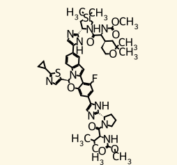 COC(=O)N[C@H](C(=O)N1CCC[C@H]1c1ncc(-c2cc(F)c3c(c2)O[C@@H](c2cnc(C4CC4)s2)n2c-3cc3cc(-c4cnc([C@@H]5C[Si](C)(C)CN5C(=O)[C@@H](NC(=O)OC)[C@@H]5CCOC(C)(C)C5)[nH]4)ccc32)[nH]1)C(C)C